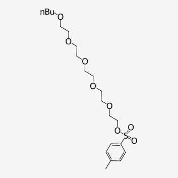 CCCCOCCOCCOCCOCCOCCOS(=O)(=O)c1ccc(C)cc1